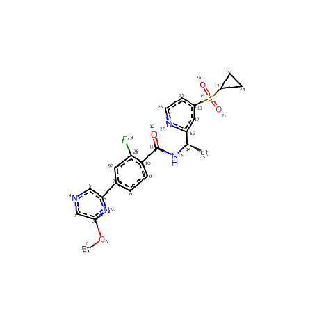 CCOc1cncc(-c2ccc(C(=O)N[C@H](CC)c3cc(S(=O)(=O)C4CC4)ccn3)c(F)c2)n1